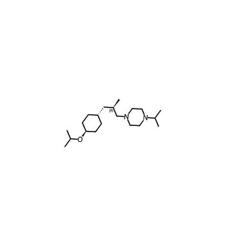 CC(C)O[C@H]1CC[C@H](C[C@@H](C)CN2CCN(C(C)C)CC2)CC1